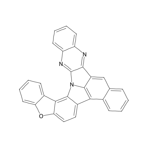 c1ccc2c(c1)cc1c3nc4ccccc4nc3n3c4c(ccc5oc6ccccc6c54)c2c13